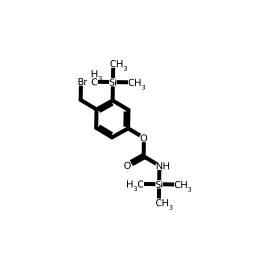 C[Si](C)(C)NC(=O)Oc1ccc(CBr)c([Si](C)(C)C)c1